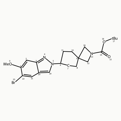 COc1cc2nn(C3CCC4(CC3)CN(C(=O)OC(C)(C)C)C4)cc2cc1Br